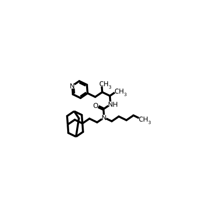 CCCCCN(CCC12CC3CC(CC(C3)C1)C2)C(=O)NC(C)C(C)Cc1ccncc1